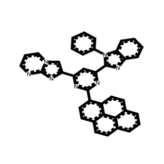 c1ccc(-n2c(-c3cc(-c4cn5cccnc5n4)nc(-c4ccc5ccc6cccc7ccc4c5c67)n3)nc3ccccc32)cc1